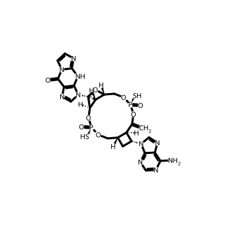 C=C1O[P@](=O)(S)OC[C@H]2O[C@@H](n3cnc4c(=O)n5ccnc5[nH]c43)[C@H](O[P@](=O)(S)OC[C@H]3C[C@@H](n4cnc5c(N)ncnc54)[C@H]13)[C@@H]2F